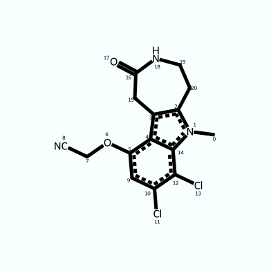 Cn1c2c(c3c(OCC#N)cc(Cl)c(Cl)c31)CC(=O)NCC2